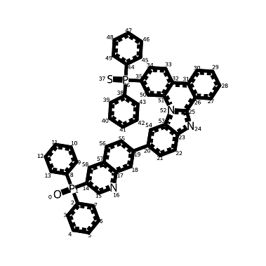 O=P(c1ccccc1)(c1ccccc1)c1cnc2cc(-c3ccc4nc5c6ccccc6c6ccc(P(=S)(c7ccccc7)c7ccccc7)cc6n5c4c3)ccc2c1